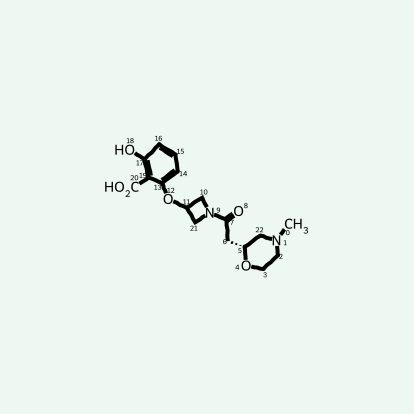 CN1CCO[C@H](CC(=O)N2CC(Oc3cccc(O)c3C(=O)O)C2)C1